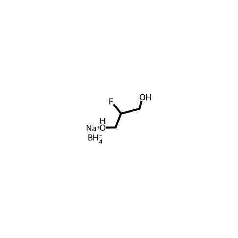 OCC(F)CO.[BH4-].[Na+]